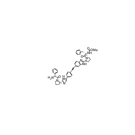 COC(=O)N[C@@H](Cc1ccccc1)C(=O)N1CCC[C@H]1c1nc2ccc(C#Cc3ccc(-c4cnc([C@@H]5CCCN5C(=O)C(N)c5ccccc5)[nH]4)cc3)cc2[nH]1